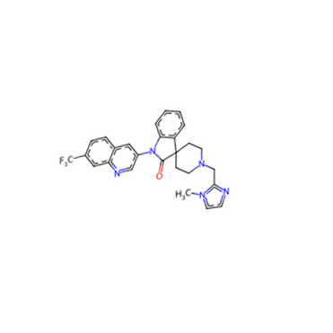 Cn1ccnc1CN1CCC2(CC1)C(=O)N(c1cnc3cc(C(F)(F)F)ccc3c1)c1ccccc12